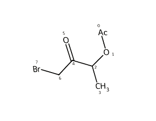 CC(=O)OC(C)C(=O)CBr